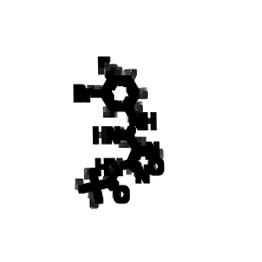 CC(C)(C)C(=O)Nc1nonc1C(=N)Nc1ccc(F)c(Br)c1